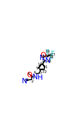 N#CCC(=O)NCCc1ccc(-c2noc(C(F)(F)F)n2)cc1